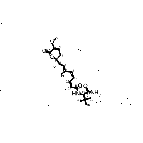 COC1=CC[C@@H]([C@@H](C)/C=C(C)/C=C\C=C/C(=O)NC(C(N)=O)C(C)(C)C)OC1=O